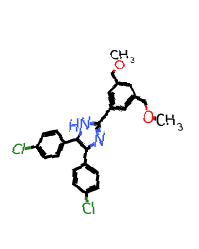 COCc1cc(COC)cc(C2=NC(c3ccc(Cl)cc3)C(c3ccc(Cl)cc3)N2)c1